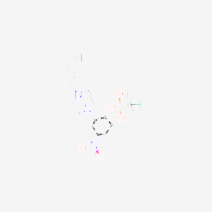 CCCCN1CCN(c2cc([N+](=O)[O-])ccc2OS(=O)(=O)C(F)(F)F)CC1